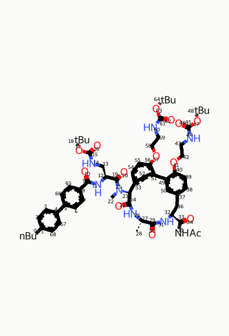 CCCCc1ccc(-c2ccc(C(=O)N[C@@H](CNC(=O)OC(C)(C)C)C(=O)N(C)[C@@H]3C(=O)N[C@@H](C)C(=O)N[C@H](C(=O)NC(C)=O)Cc4ccc(OCCNC(=O)OC(C)(C)C)c(c4)-c4cc3ccc4OCCNC(=O)OC(C)(C)C)cc2)cc1